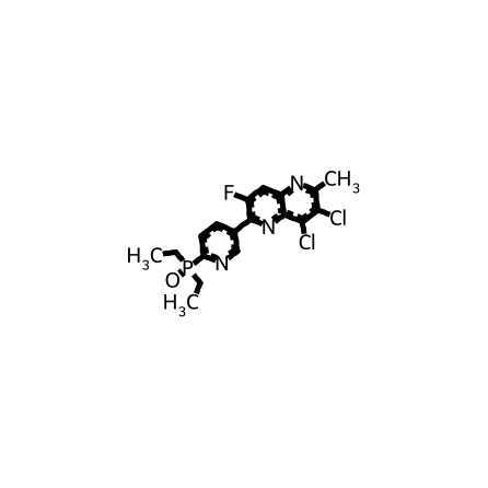 CCP(=O)(CC)c1ccc(-c2nc3c(Cl)c(Cl)c(C)nc3cc2F)cn1